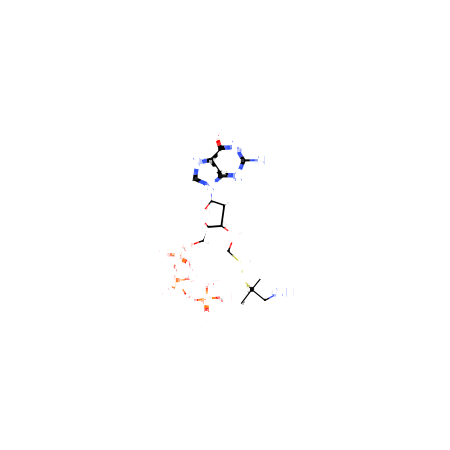 CC(C)(CN)SSCOC1C[C@H](n2cnc3c(=O)[nH]c(N)nc32)O[C@@H]1COP(=O)(O)OP(=O)(O)OP(=O)(O)O